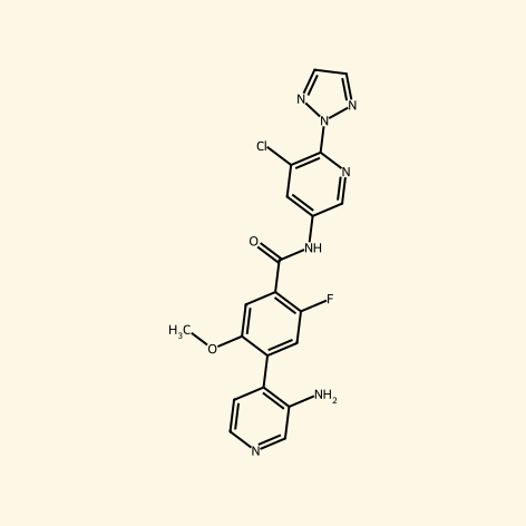 COc1cc(C(=O)Nc2cnc(-n3nccn3)c(Cl)c2)c(F)cc1-c1ccncc1N